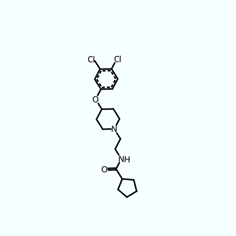 O=C(NCCN1CCC(Oc2ccc(Cl)c(Cl)c2)CC1)C1CCCC1